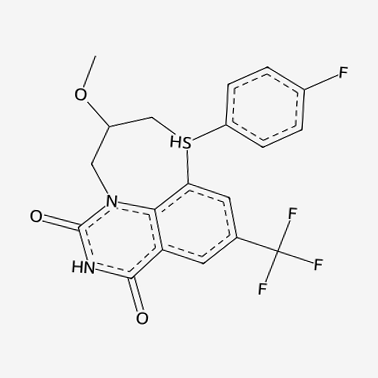 COC1Cn2c(=O)[nH]c(=O)c3cc(C(F)(F)F)cc(c32)[SH](c2ccc(F)cc2)C1